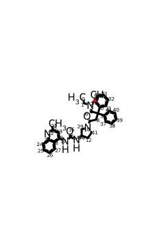 CCN(CC)C(=O)C(CCN1CC[C@@H](NC(=O)Nc2cc(C)nc3ccccc23)C1)(c1ccccc1)c1ccccc1